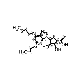 CCCSc1nc(NCCSC)c2nnn(C3C[C@H](C(=O)O)C(O)C3O)c2n1